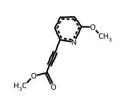 COC(=O)C#Cc1cccc(OC)n1